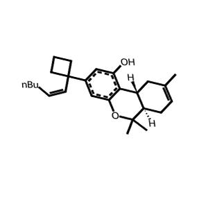 CCCC/C=C\C1(c2cc(O)c3c(c2)OC(C)(C)[C@@H]2CC=C(C)C[C@@H]32)CCC1